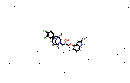 Cc1cc2c(OC[C@@H](O)CN3C[C@@H]4C/C=C\C[C@H]3CN4c3ccc(Cl)c(Cl)c3)cccc2[nH]1